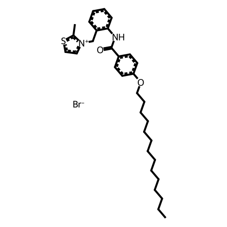 CCCCCCCCCCCCCCOc1ccc(C(=O)Nc2ccccc2C[n+]2ccsc2C)cc1.[Br-]